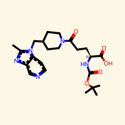 Cc1nc2cnccc2n1CC1CCN(C(=O)CC[C@H](NC(=O)OC(C)(C)C)C(=O)O)CC1